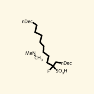 CCCCCCCCCCCCCCCCCCC(F)(CCCCCCCCCCC)S(=O)(=O)O.CNC